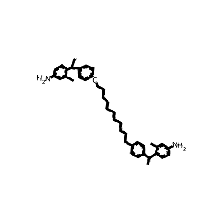 Cc1cc(N)ccc1C(C)c1ccc(CCCCCCCCCCCCc2ccc(C(C)c3ccc(N)cc3C)cc2)cc1